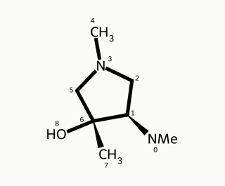 CN[C@@H]1CN(C)C[C@@]1(C)O